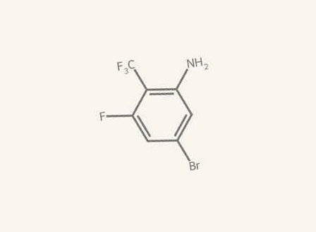 Nc1cc(Br)cc(F)c1C(F)(F)F